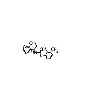 O=C(Cc1cccc(C(F)(F)F)c1Cl)NC1CCOc2ncccc21